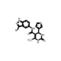 CC1=C(C(=O)Nc2ccc3[nH]nc(Br)c3c2)C(c2ccsc2)NC(=O)N1